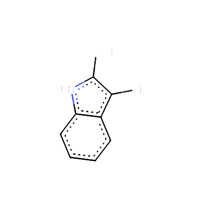 O=S(=O)(O)c1[nH]c2ccccc2c1C(F)(F)F